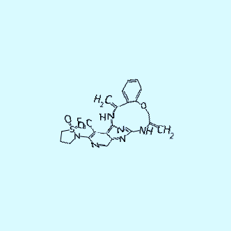 C=C1COc2ccccc2C(=C)Nc2nc(nc3cnc(N4CCCS4(=O)=O)c(C(F)(F)F)c23)N1